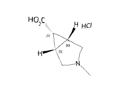 CN1C[C@@H]2[C@H](C1)[C@@H]2C(=O)O.Cl